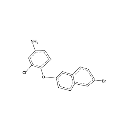 Nc1ccc(Oc2ccc3cc(Br)ccc3c2)c(Cl)c1